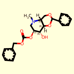 CN1C[C@H](OC(=O)OCc2ccccc2)[C@@H](O)[C@@H]2OC(c3ccccc3)OC[C@H]21